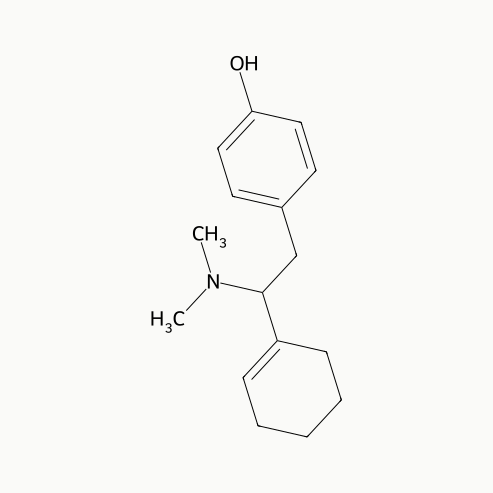 CN(C)C(Cc1ccc(O)cc1)C1=CCCCC1